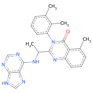 Cc1cccc(-n2c(C(C)Nc3ncnc4[nH]cnc34)nc3cccc(C)c3c2=O)c1C